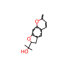 C=C1C=Cc2cc3c(cc2O1)OC(C(C)(C)O)C3